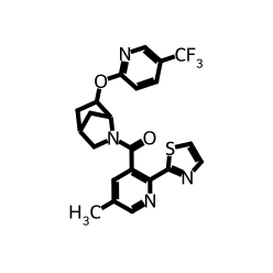 Cc1cnc(-c2nccs2)c(C(=O)N2CC3CC(Oc4ccc(C(F)(F)F)cn4)C2C3)c1